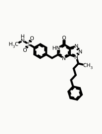 CNS(=O)(=O)c1ccc(Cc2nc3c(nnn3C(C)CCCc3ccccc3)c(=O)[nH]2)cc1